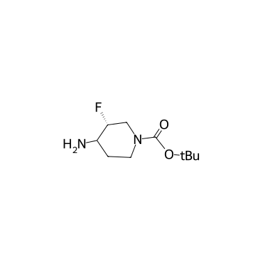 CC(C)(C)OC(=O)N1CCC(N)[C@H](F)C1